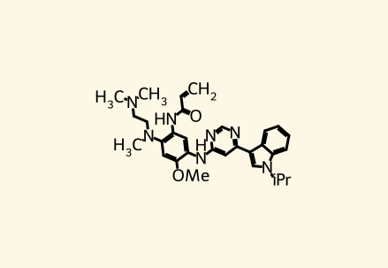 C=CC(=O)Nc1cc(Nc2cc(-c3cn(C(C)C)c4ccccc34)ncn2)c(OC)cc1N(C)CCN(C)C